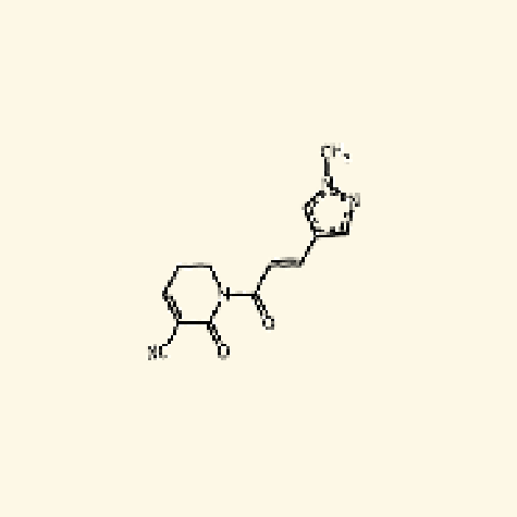 Cn1cc(C=CC(=O)N2CCC=C(C#N)C2=O)cn1